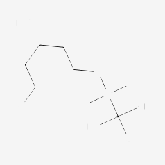 C[C@@H](CCO)CCO[Si](C)(C)C(C)(C)C